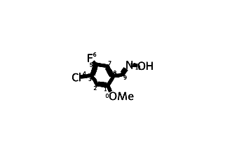 COc1cc(Cl)c(F)cc1/C=N/O